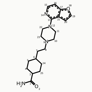 NC(=O)C1CCC(CCN2CCN(c3nccc4occc34)CC2)CC1